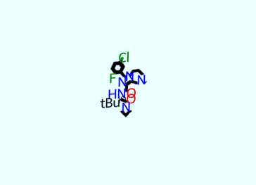 CN1CCCn2c(-c3cc(Cl)ccc3F)nc(C(=O)N[C@H](C(=O)N3CCC3)C(C)(C)C)c2C1